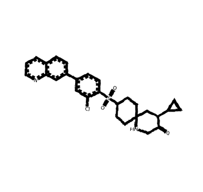 O=C1CNC2(CCC(S(=O)(=O)c3ccc(-c4ccc5cccnc5c4)cc3Cl)CC2)CC1C1CC1